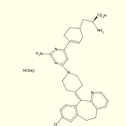 Cl.Cl.Nc1nc(C2=CCC(C[C@H](N)C(=O)O)CC2)cc(N2CCC(=C3c4ccc(Cl)cc4CCc4cccnc43)CC2)n1